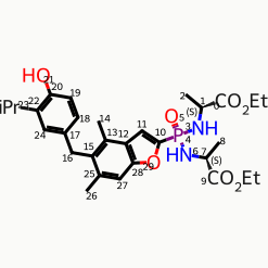 CCOC(=O)[C@H](C)NP(=O)(N[C@@H](C)C(=O)OCC)c1cc2c(C)c(Cc3ccc(O)c(C(C)C)c3)c(C)cc2o1